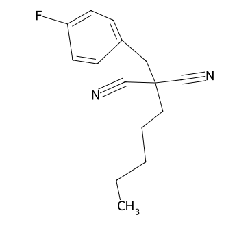 CCCCCC(C#N)(C#N)Cc1ccc(F)cc1